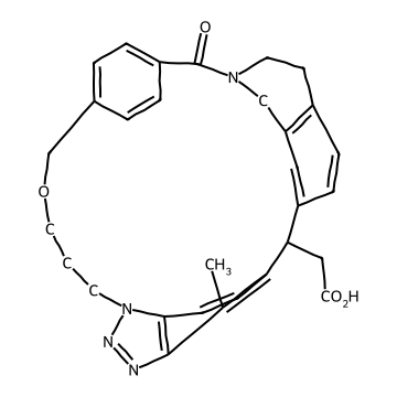 Cc1c2ccc3c1nnn3CCCOCc1ccc(cc1)C(=O)N1CCc3ccc(cc3C1)C2CC(=O)O